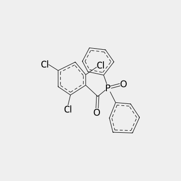 O=C(c1c(Cl)cc(Cl)cc1Cl)P(=O)(c1ccccc1)c1ccccc1